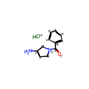 Cl.NC1CCN(C(=O)c2ccccc2)C1